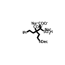 CCCCCCCCCCCCC(CCC(C)C)(C(=O)[O-])C(C(=O)[O-])S(=O)(=O)O.[Na+].[Na+]